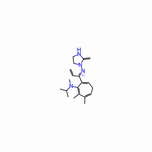 C=C/C(=N\N1CCNC1=C)C1=CCC=C(C)C(C)=C1N(C)C(C)C